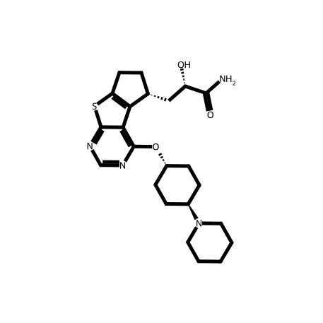 NC(=O)[C@@H](O)C[C@H]1CCc2sc3ncnc(O[C@H]4CC[C@H](N5CCCCC5)CC4)c3c21